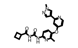 Cc1nc(NC(=O)NC(=O)C2CCC2)ccc1Oc1ccnc(-c2cnn(C)c2)c1